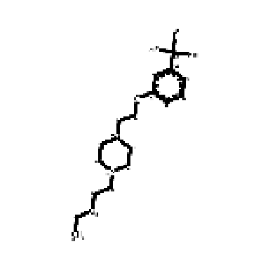 CCOCCN1CCN(CCOc2cccc(C(F)(F)F)c2)CC1